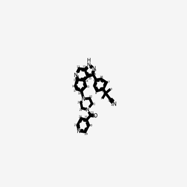 CC(C)(C#N)c1ccc(-c2n[nH]c3cnc4ccc(N5CCN(C(=O)c6ccncc6)CC5)cc4c23)cc1